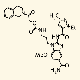 CCn1nc(C)cc1C(=O)Nc1nc2cc(C(N)=O)cc(OC)c2n1CCCNC(=O)OCC(=O)N1CCc2ccccc2C1